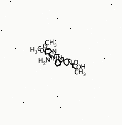 COc1cc2nc(CNCC3(c4ccccc4)CCN(C(=O)CC(C)O)CC3)nc(N)c2cc1OC